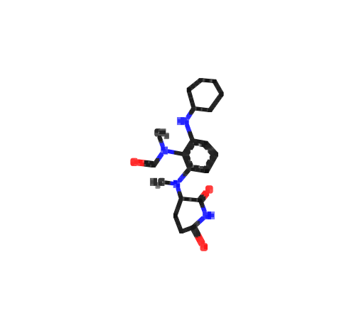 CN(C=O)c1c(NC2CCCCC2)cccc1N(C)C1CCC(=O)NC1=O